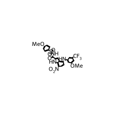 COc1ccc(S(=O)(=O)NC(=O)c2cc3c(Nc4cc(OC)cc(C(F)(F)F)c4)ccc([N+](=O)[O-])c3[nH]2)cc1